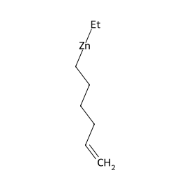 C=CCCC[CH2][Zn][CH2]C